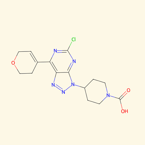 O=C(O)N1CCC(n2nnc3c(C4=CCOCC4)nc(Cl)nc32)CC1